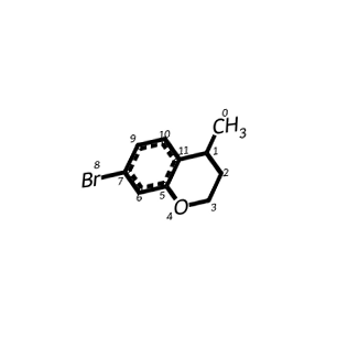 CC1CCOc2cc(Br)ccc21